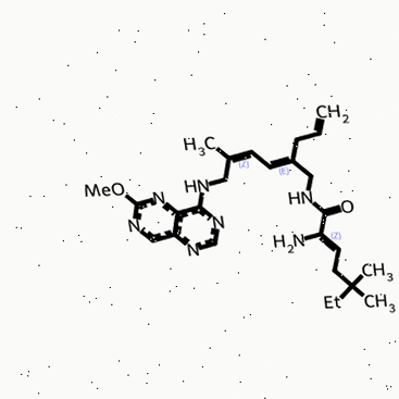 C=CC/C(=C\C=C(\C)CNc1ncnc2cnc(OC)nc12)CNC(=O)/C(N)=C/CC(C)(C)CC